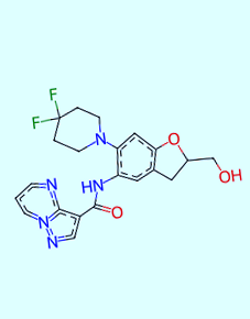 O=C(Nc1cc2c(cc1N1CCC(F)(F)CC1)OC(CO)C2)c1cnn2cccnc12